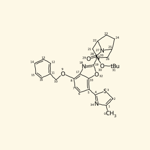 Cc1csc(-c2ccc(OCc3ccccc3)c3nc(N4CC5CCC(C4)N5C(=O)OC(C)(C)C)oc23)n1